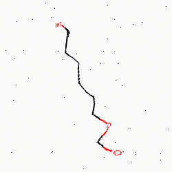 [O]COCCCCCCO